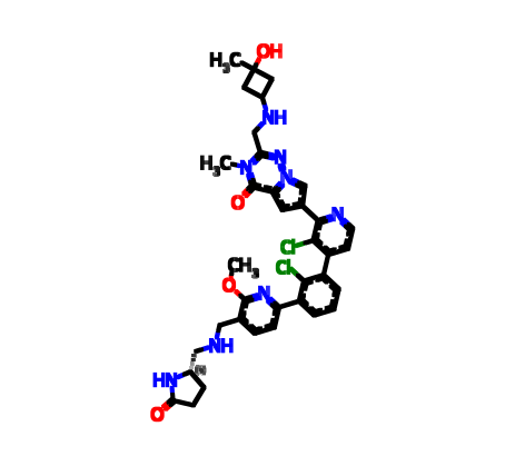 COc1nc(-c2cccc(-c3ccnc(-c4cc5c(=O)n(C)c(CNC6CC(C)(O)C6)nn5c4)c3Cl)c2Cl)ccc1CNC[C@@H]1CCC(=O)N1